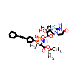 C=C1NC(=O)C=CN1[C@@H]1O[C@H](COP(=O)(N[C@@H](C)C(=O)OC(C)C)Oc2ccc(C#Cc3ccccc3)cc2)[C@@H](O)[C@@]1(C)F